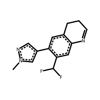 Cn1cc(-c2cc3c(cc2C(F)F)N=CCC3)cn1